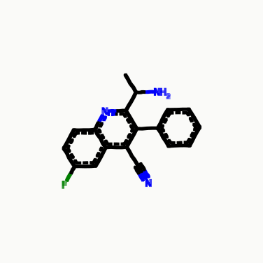 CC(N)c1nc2ccc(F)cc2c(C#N)c1-c1ccccc1